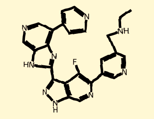 CCNCc1cncc(-c2ncc3[nH]nc(-c4nc5c(-c6ccncc6)cncc5[nH]4)c3c2F)c1